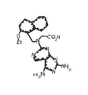 CCOc1ccc2ccccc2c1CN(CC(=O)O)c1ncc2c(N)nc(N)nc2n1